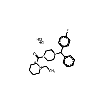 CCN1CCCC[C@H]1C(=O)N1CCN(C(c2ccccc2)c2ccc(F)cc2)CC1.Cl.Cl